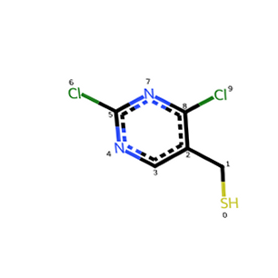 SCc1cnc(Cl)nc1Cl